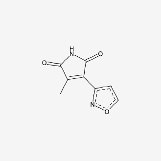 CC1=C(c2ccon2)C(=O)NC1=O